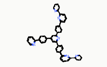 c1ccc(-c2ccc(-c3cc(-c4ccc(-c5cccc(-c6ccccn6)n5)cc4)nc(-c4ccc(-c5cccc(-c6ccccn6)n5)cc4)c3)cc2)nc1